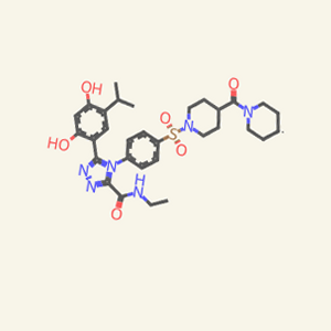 CCNC(=O)c1nnc(-c2cc(C(C)C)c(O)cc2O)n1-c1ccc(S(=O)(=O)N2CCC(C(=O)N3CC[CH]CC3)CC2)cc1